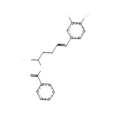 CCCCc1ccc(C=CCCC(C)OC(=O)c2ccccc2)cc1CC